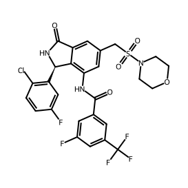 O=C(Nc1cc(CS(=O)(=O)N2CCOCC2)cc2c1[C@@H](c1cc(F)ccc1Cl)NC2=O)c1cc(F)cc(C(F)(F)F)c1